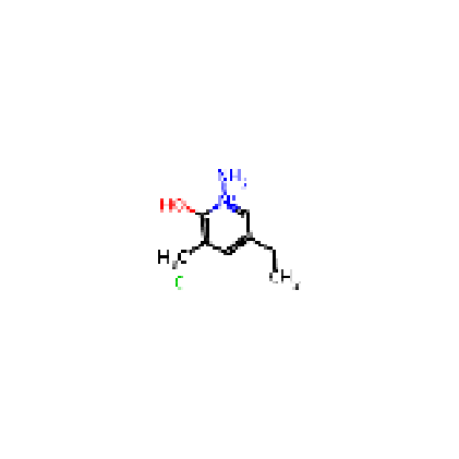 CCc1cc(C)c(O)[n+](N)c1.[Cl-]